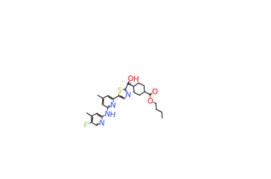 CCCCOC(=O)C1CCC([C@](C)(O)c2ncc(-c3cc(C)cc(Nc4cc(C)c(F)cn4)n3)s2)CC1